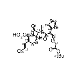 CC(C)(C)OC(=O)CO/N=C(\C(=O)NC1C(=O)N2C(C(=O)O)=C(/C=C/Cl)CS[C@H]12)c1cscn1